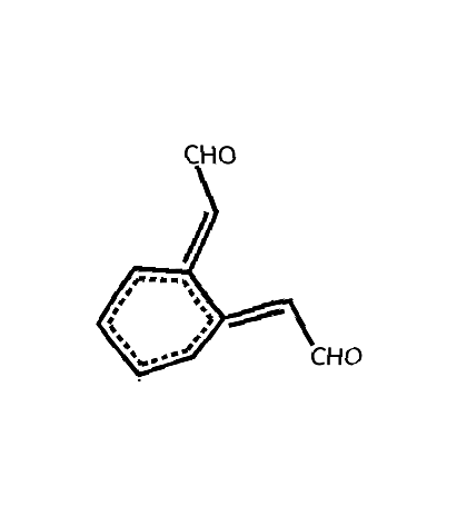 O=CC=c1c[c]ccc1=CC=O